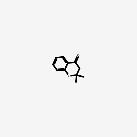 CC1(C)CC(=O)c2c[c]ccc2O1